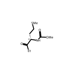 CCC(=O)[C@H](CCSC)NC(=O)OC